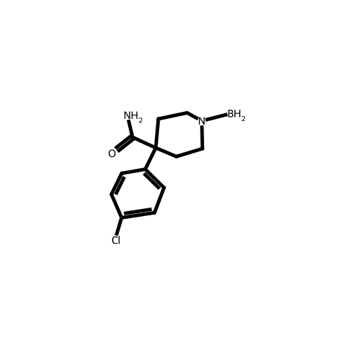 BN1CCC(C(N)=O)(c2ccc(Cl)cc2)CC1